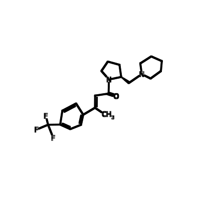 C/C(=C\C(=O)N1CCC[C@H]1CN1CCCCC1)c1ccc(C(F)(F)F)cc1